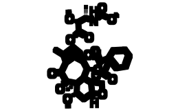 COC(=O)N[C@@H](C)[C@@H](OC)C(=O)O[C@H]1C[C@@]2(O)[C@@H](OC(=O)c3ccccc3)C3[C@](C)(C(=O)C(=O)C(=C1C)C2(C)C)[C@@H](OC)C[C@H]1OC[C@@]31OC(C)=O